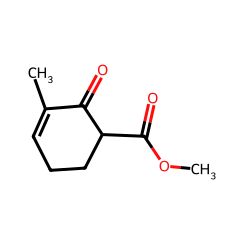 COC(=O)C1CCC=C(C)C1=O